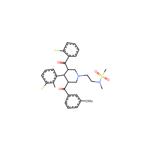 COc1cccc(C(=O)C2CN(CCN(C)S(C)(=O)=O)CC(C(=O)c3ccccc3F)C2c2cccc(F)c2C)c1